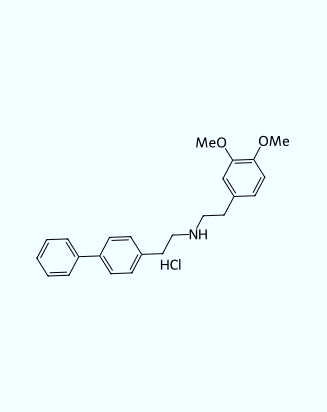 COc1ccc(CCNCCc2ccc(-c3ccccc3)cc2)cc1OC.Cl